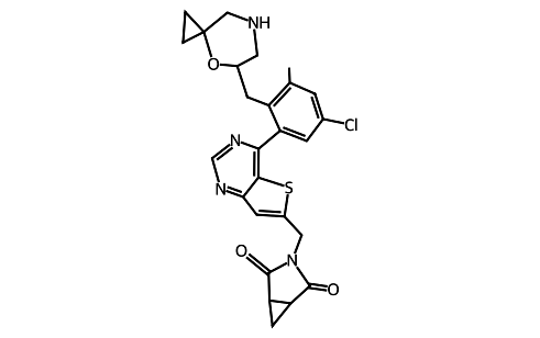 Cc1cc(Cl)cc(-c2ncnc3cc(CN4C(=O)C5CC5C4=O)sc23)c1CC1CNCC2(CC2)O1